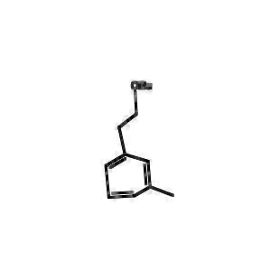 Cc1cccc(CCOCC(C)C)c1